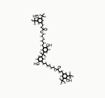 CC(C)(C)c1cc(CCC(=O)OCCSCCCc2cc(C(C)(C)c3ccc(O)c(CCCSCCOC(=O)CCc4cc(C(C)(C)C)c(O)c(C(C)(C)C)c4)c3)ccc2O)cc(C(C)(C)C)c1O